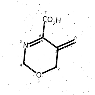 C=C1COCN=C1C(=O)O